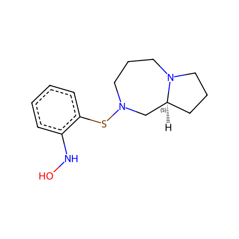 ONc1ccccc1SN1CCCN2CCC[C@H]2C1